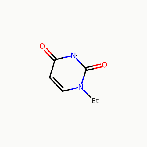 CCN1C=CC(=O)[N]C1=O